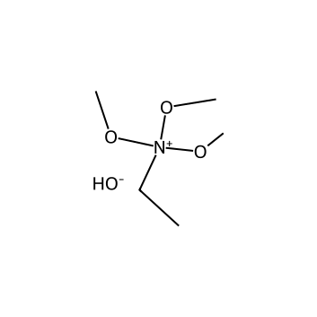 CC[N+](OC)(OC)OC.[OH-]